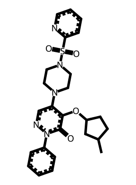 CC1CCC(Oc2c(N3CCN(S(=O)(=O)c4ccccn4)CC3)cnn(-c3ccccc3)c2=O)C1